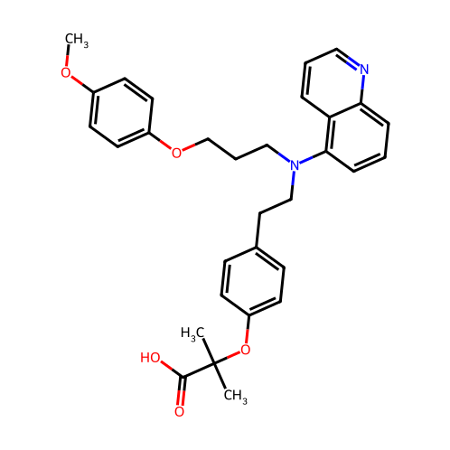 COc1ccc(OCCCN(CCc2ccc(OC(C)(C)C(=O)O)cc2)c2cccc3ncccc23)cc1